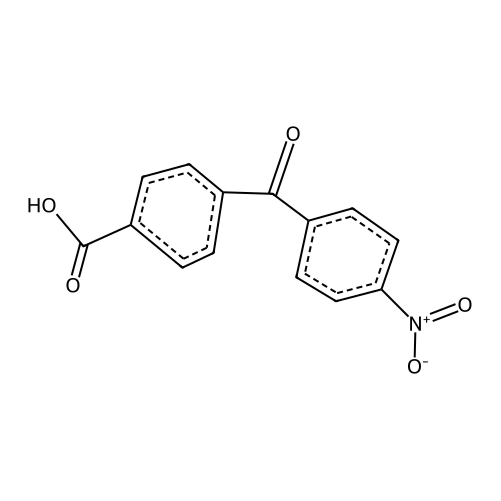 O=C(O)c1ccc(C(=O)c2ccc([N+](=O)[O-])cc2)cc1